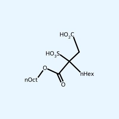 CCCCCCCCOC(=O)C(CCCCCC)(CC(=O)O)S(=O)(=O)O